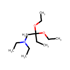 CCOC(CC)(OCC)[SiH2]N(CC)CC